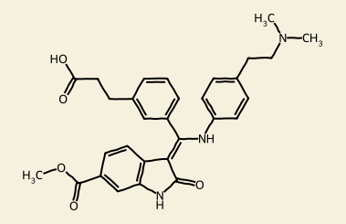 COC(=O)c1ccc2c(c1)NC(=O)/C2=C(\Nc1ccc(CCN(C)C)cc1)c1cccc(CCC(=O)O)c1